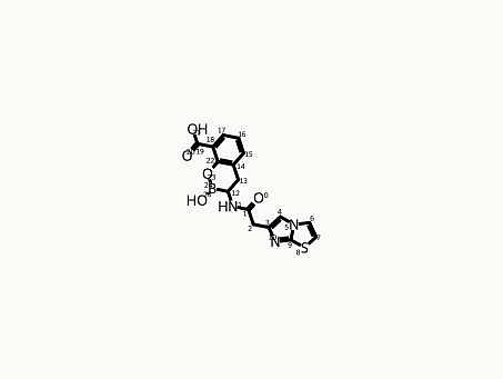 O=C(Cc1cn2ccsc2n1)NC1Cc2cccc(C(=O)O)c2OB1O